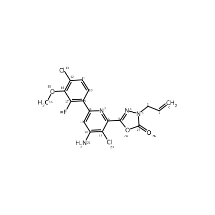 C=CCn1nc(-c2nc(-c3ccc(Cl)c(OC)c3F)cc(N)c2Cl)oc1=O